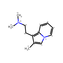 Cc1cn2ccccc2c1CCN(C)C